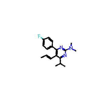 CC=Cc1c(-c2ccc(F)cc2)nc(N(C)C)nc1C(C)C